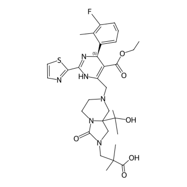 CCOC(=O)C1=C(CN2CCN3C(=O)N(CC(C)(C)C(=O)O)CC3(C(C)(C)O)C2)NC(c2nccs2)=N[C@H]1c1cccc(F)c1C